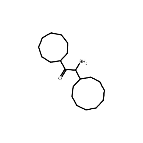 BC(C(=O)C1CCCCCCCC1)C1CCCCCCCCC1